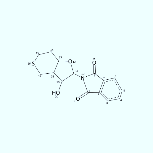 O=C1c2ccccc2C(=O)N1C1OC2CCSCC2C1O